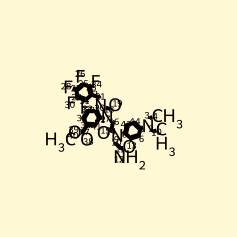 CCN(CC)c1ccc(N(CC(N)=O)C(=O)Cn2c(=O)n(Cc3c(F)c(F)c(F)c(F)c3F)c3ccc(C(=O)OC)cc32)cc1